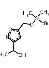 CC(O)c1cc(CO[Si](C)(C)C(C)(C)C)on1